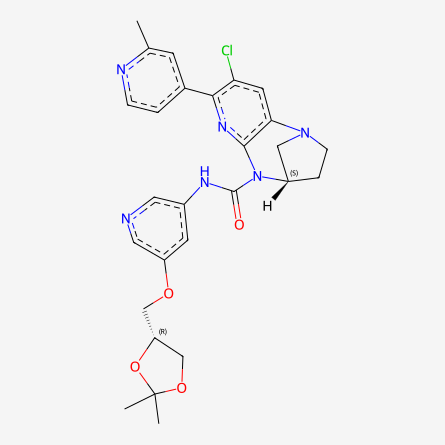 Cc1cc(-c2nc3c(cc2Cl)N2CC[C@@H](C2)N3C(=O)Nc2cncc(OC[C@@H]3COC(C)(C)O3)c2)ccn1